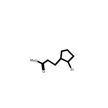 CCC1CCCC1CCC(=O)OC